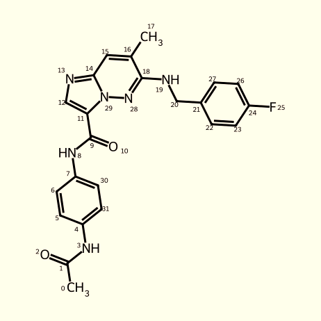 CC(=O)Nc1ccc(NC(=O)c2cnc3cc(C)c(NCc4ccc(F)cc4)nn23)cc1